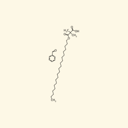 CCCCCCCCCCCCCCCCCCCCCCOC(=O)C(C)(C)C(=O)O.O=Cc1ccccc1